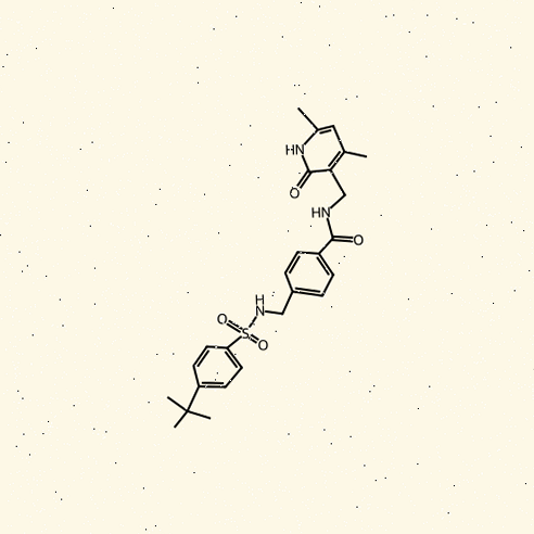 Cc1cc(C)c(CNC(=O)c2ccc(CNS(=O)(=O)c3ccc(C(C)(C)C)cc3)cc2)c(=O)[nH]1